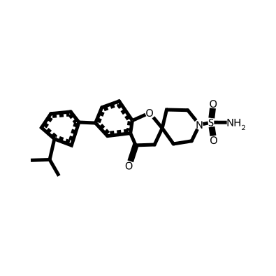 CC(C)c1cccc(-c2ccc3c(c2)C(=O)CC2(CCN(S(N)(=O)=O)CC2)O3)c1